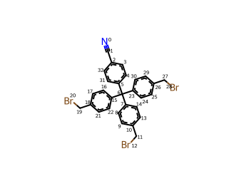 N#Cc1ccc(C(c2ccc(CBr)cc2)(c2ccc(CBr)cc2)c2ccc(CBr)cc2)cc1